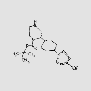 CC(C)(C)OC(=O)N1CCNCC1C1CCC(c2ccc(O)cc2)CC1